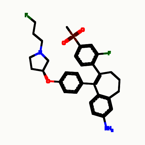 CS(=O)(=O)c1ccc(C2=C(c3ccc(O[C@H]4CCN(CCCF)C4)cc3)c3ccc(N)cc3CCC2)c(F)c1